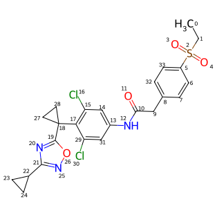 CCS(=O)(=O)c1ccc(CC(=O)Nc2cc(Cl)c(C3(c4nc(C5CC5)no4)CC3)c(Cl)c2)cc1